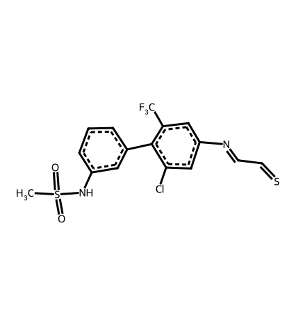 CS(=O)(=O)Nc1cccc(-c2c(Cl)cc(N=CC=S)cc2C(F)(F)F)c1